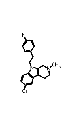 CN1CCc2c(n(CCc3ccc(F)cc3)c3ccc(Cl)cc23)C1